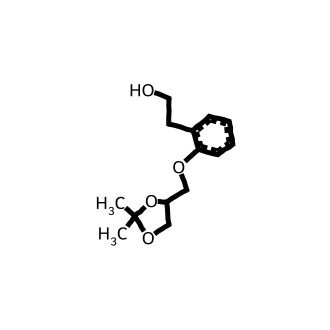 CC1(C)OCC(COc2ccccc2CCO)O1